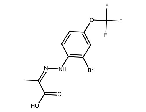 CC(=NNc1ccc(OC(F)(F)F)cc1Br)C(=O)O